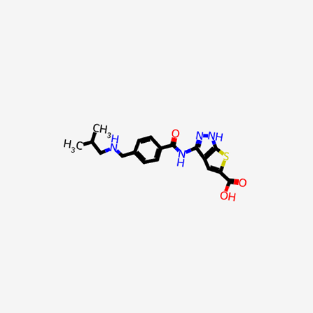 CC(C)CNCc1ccc(C(=O)Nc2n[nH]c3sc(C(=O)O)cc23)cc1